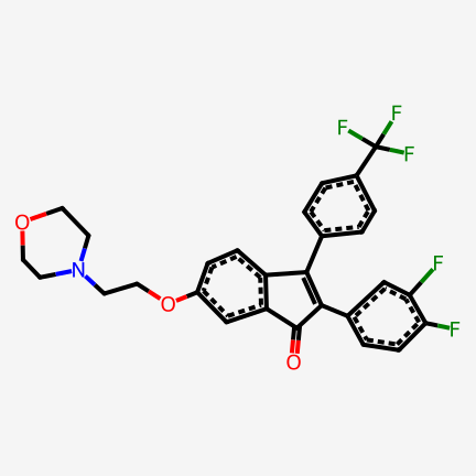 O=C1C(c2ccc(F)c(F)c2)=C(c2ccc(C(F)(F)F)cc2)c2ccc(OCCN3CCOCC3)cc21